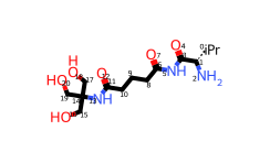 CC(C)[C@H](N)C(=O)NC(=O)CCCC(=O)NC(CO)(CO)CO